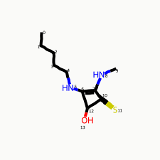 CCCCCNC1=C(NC)C(=S)C1O